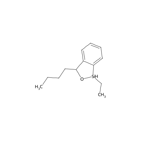 CCCCC1O[SiH](CC)c2ccccc21